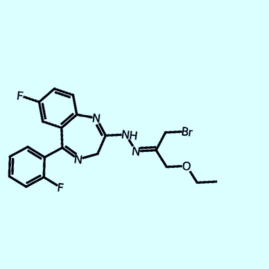 CCOCC(CBr)=NNC1=Nc2ccc(F)cc2C(c2ccccc2F)=NC1